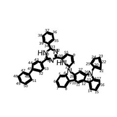 C1=CC(n2c3ccccc3c3cc4c5ccccc5n(-c5ccccc5)c4cc32)NC(C2=NC(c3ccccc3)NC(c3ccc(-c4ccccc4)cc3)=N2)=C1